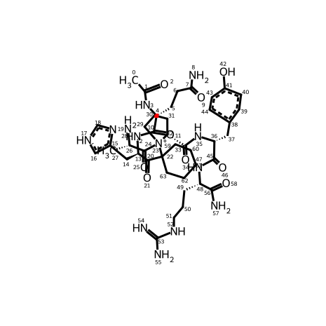 CC(=O)N[C@H](CCC(N)=O)C(=O)N[C@H](Cc1c[nH]cn1)C(=O)C1([N+]2(C(=O)[C@H](C)N)CCC[C@@H]2C(=O)N[C@H](Cc2ccc(O)cc2)C(=O)N[C@@H](CCCNC(=N)N)C(N)=O)CCCCC1